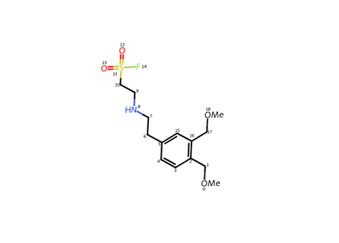 COCc1ccc(CCNCCS(=O)(=O)F)cc1COC